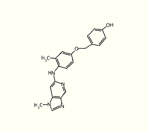 Cc1cc(OCc2ccc(O)cc2)ccc1Nc1cc2c(cn1)ncn2C